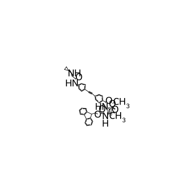 COC(=O)[C@@H](NC(=O)c1ccc(C#Cc2ccc(NC(=O)CNC3CC3)cc2)cc1)[C@@H](C)NC(=O)OCC1c2ccccc2-c2ccccc21